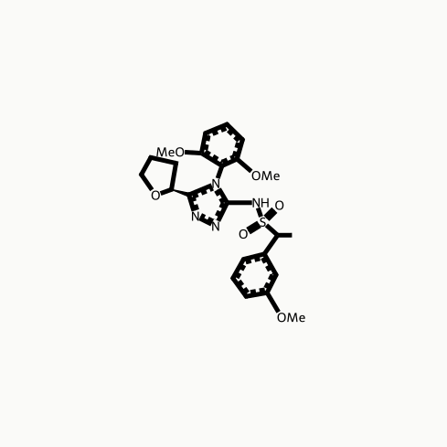 COc1cccc(C(C)S(=O)(=O)Nc2nnc([C@@H]3CCCO3)n2-c2c(OC)cccc2OC)c1